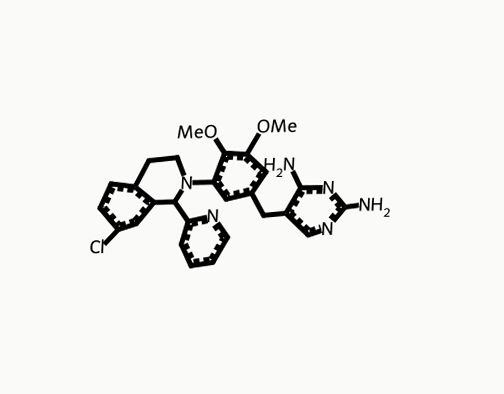 COc1cc(Cc2cnc(N)nc2N)cc(N2CCc3ccc(Cl)cc3C2c2ccccn2)c1OC